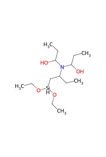 CCO[SiH](CC(CC)N(C(O)CC)C(O)CC)OCC